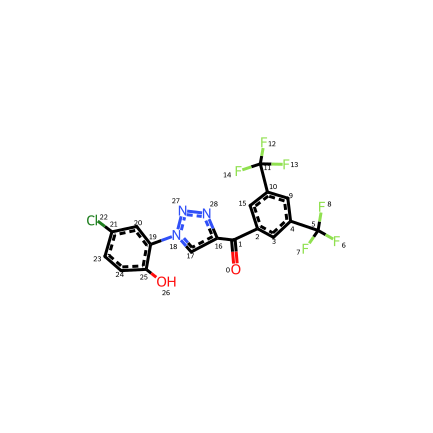 O=C(c1cc(C(F)(F)F)cc(C(F)(F)F)c1)c1cn(-c2cc(Cl)ccc2O)nn1